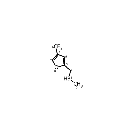 CBCc1cc(C(F)(F)F)co1